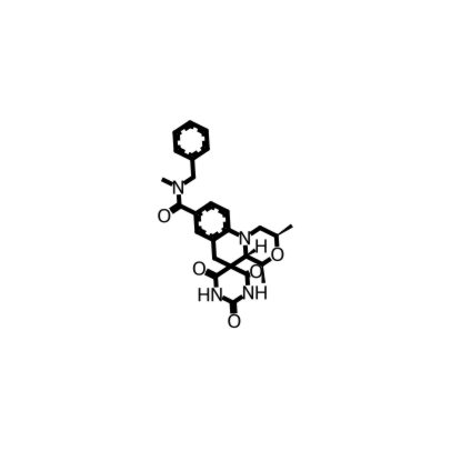 C[C@@H]1CN2c3ccc(C(=O)N(C)Cc4ccccc4)cc3CC3(C(=O)NC(=O)NC3=O)[C@H]2[C@H](C)O1